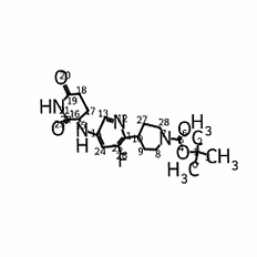 CC(C)(C)OC(=O)N1CCC(c2ncc(NC3CCC(=O)NC3=O)cc2F)CC1